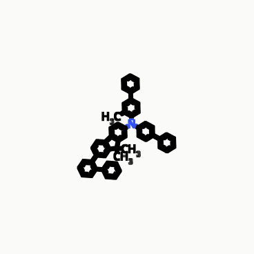 Cc1cc(-c2ccccc2)ccc1N(c1ccc(-c2ccccc2)cc1)c1ccc2c(c1)C(C)(C)c1cc(-c3ccccc3-c3ccccc3)ccc1-2